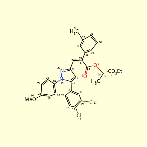 CCOC(=O)[C@H](C)OC(=O)[C@@H](Cc1cc(-c2ccc(Cl)c(Cl)c2)n(-c2ccc(OC)cc2)n1)c1cccc(C)c1